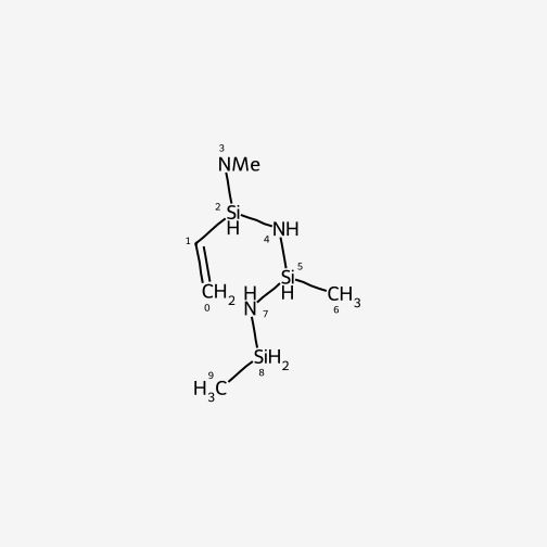 C=C[SiH](NC)N[SiH](C)N[SiH2]C